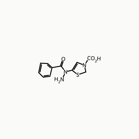 NN(C(=O)c1ccccc1)C1=CN(C(=O)O)CS1